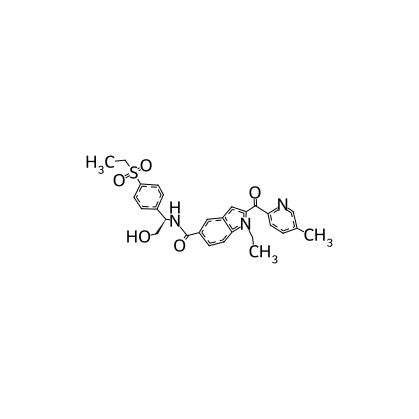 CCn1c(C(=O)c2ccc(C)cn2)cc2cc(C(=O)N[C@@H](CO)c3ccc(S(=O)(=O)CC)cc3)ccc21